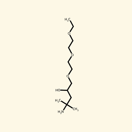 CCOCCOCCOCC(O)CC(C)(C)N